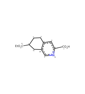 CCOC(=O)C1CCc2cc(C(=O)O)ncc2C1